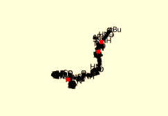 CCCSc1nc(NCCNC(=O)OC(C)(C)C)c2nnn(Cc3ccc(C#CCNC(=O)C4CCN(CCNC(=O)c5cnc(N/N=C6/C(=O)N(c7nc(-c8ccccc8)cs7)N=C6c6ccccc6)s5)CC4)cc3)c2n1